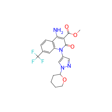 COC(=O)c1c(N)c2ccc(C(F)(F)F)cc2n(-c2cnn(C3CCCCO3)c2)c1=O